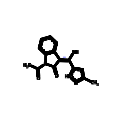 CC(=O)N1C(=O)/C(=C(/O)c2cc(C)n[nH]2)c2ccccc21